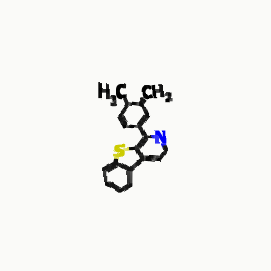 C=C1C=C(c2nccc3c2sc2ccccc23)C=CC1C